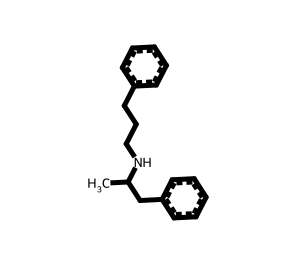 CC(Cc1ccccc1)NCCCc1ccccc1